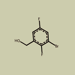 OCc1cc(F)cc(Br)c1F